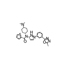 Cc1nnc(-c2cccc(N3C=CC(N(C(=O)c4cccs4)[C@H]4CC[C@H](N(C)C)CC4)N3)c2)o1